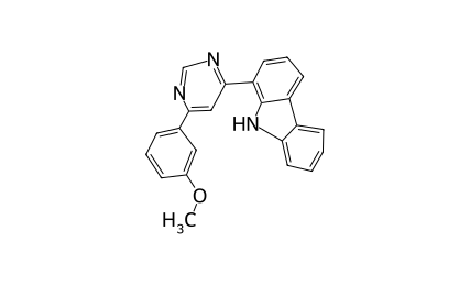 COc1cccc(-c2cc(-c3cccc4c3[nH]c3ccccc34)ncn2)c1